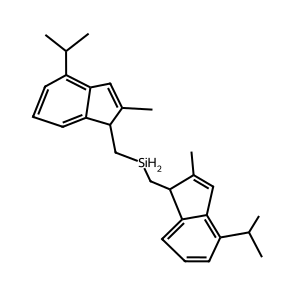 CC1=Cc2c(C(C)C)cccc2C1C[SiH2]CC1C(C)=Cc2c(C(C)C)cccc21